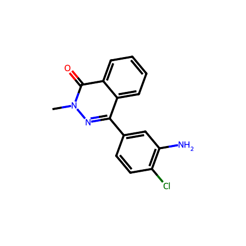 Cn1nc(-c2ccc(Cl)c(N)c2)c2ccccc2c1=O